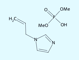 C=CCn1ccnc1.COP(=O)(O)OC